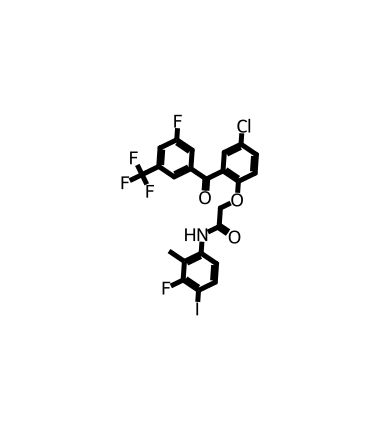 Cc1c(NC(=O)COc2ccc(Cl)cc2C(=O)c2cc(F)cc(C(F)(F)F)c2)ccc(I)c1F